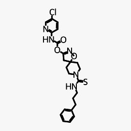 O=C(Nc1ccc(Cl)cn1)OC1=NOC2(CCN(C(=S)NCCCc3ccccc3)CC2)C1